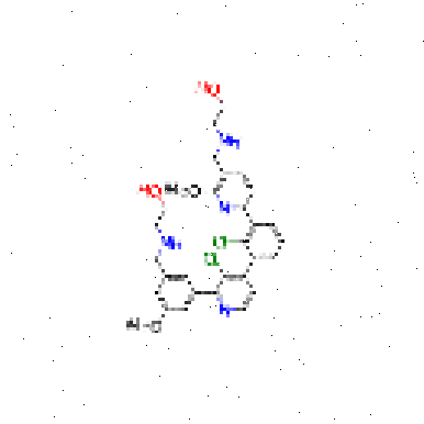 COc1cc(CNCCO)cc(-c2nccc(-c3cccc(-c4ccc(CNCCO)c(OC)n4)c3Cl)c2Cl)c1